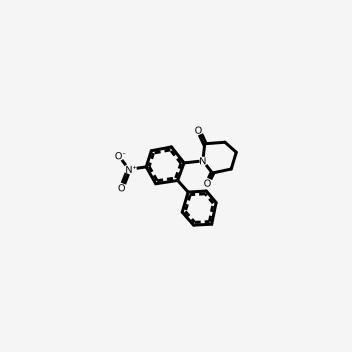 O=C1CCCC(=O)N1c1ccc([N+](=O)[O-])cc1-c1ccccc1